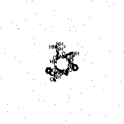 CC(=O)N[C@@H](Cc1ccccc1)C(=O)N[C@H]1CCCNC(=O)C(CCCNC(=N)N)NC(=O)C(Cc2c[nH]cn2)NC(=O)[C@@H](CC2CCCCC2)NC(=O)C2CCCN2C1=O